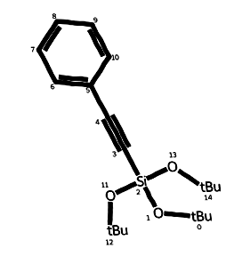 CC(C)(C)O[Si](C#Cc1ccccc1)(OC(C)(C)C)OC(C)(C)C